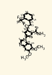 COc1cc2ncn(-c3cc(OCc4ccccc4C(F)(F)F)c(C(N)=S)s3)c2cc1OC